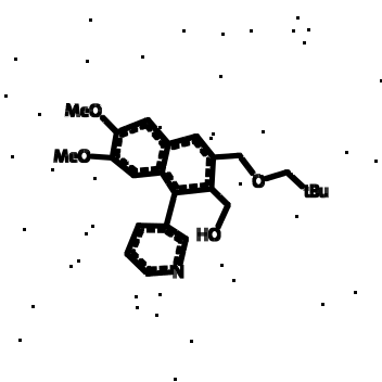 COc1cc2cc(COCC(C)(C)C)c(CO)c(-c3cccnc3)c2cc1OC